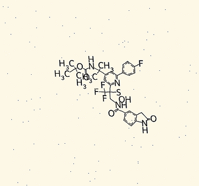 CC(C)(C)OC(=O)NC(C)(C)c1cc(-c2ccc(F)cc2)nc(C(CNC(=O)c2ccc3c(c2)CC(=O)N3)(SO)C(F)(F)F)c1